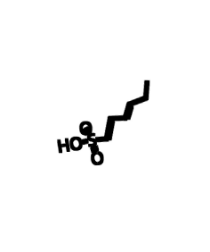 CCC=CC=CS(=O)(=O)O